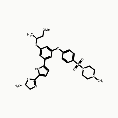 COC[C@H](C)Oc1cc(Oc2ccc(S(=O)(=O)N3CCN(C)CC3)cc2)cc(-c2ccc(C3=NC[C@H](C)O3)[nH]2)c1